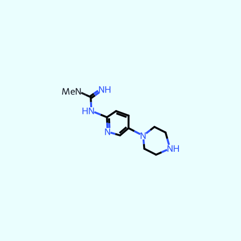 CNC(=N)Nc1ccc(N2CCNCC2)cn1